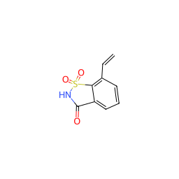 C=Cc1cccc2c1S(=O)(=O)NC2=O